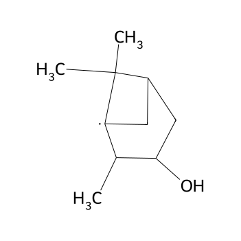 CC1[C]2CC(CC1O)C2(C)C